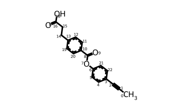 CC#Cc1ccc(OC(=O)c2ccc(CCC(=O)O)cc2)cc1